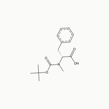 CN(C(=O)OC(C)(C)C)[C@H](Cc1ccccc1)C(=O)O